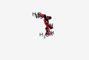 CNCC(O)COc1cccc(-c2nc(NCc3cc(CC4CC4n4ncc5c(N6CC7CCC(C6)O7)nc(-c6cccc(OCC(O)CNC)c6)nc54)on3)c3cnn(C4CC4)c3n2)c1